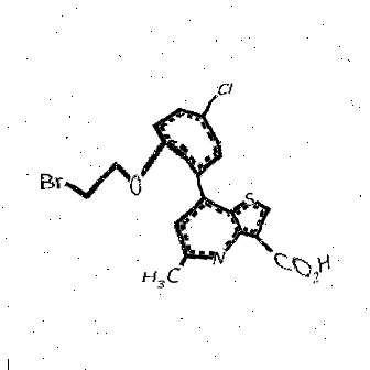 Cc1cc(-c2cc(Cl)ccc2OCCBr)c2scc(C(=O)O)c2n1